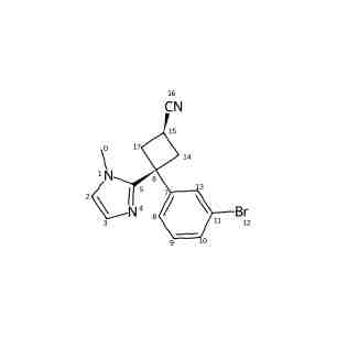 Cn1ccnc1[C@]1(c2cccc(Br)c2)C[C@H](C#N)C1